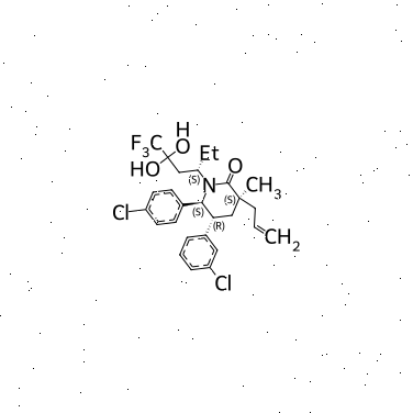 C=CC[C@@]1(C)C[C@H](c2cccc(Cl)c2)[C@@H](c2ccc(Cl)cc2)N([C@@H](CC)CC(O)(O)C(F)(F)F)C1=O